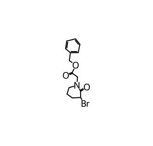 O=C(CN1CCCC(Br)C1=O)OCc1ccccc1